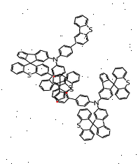 c1ccc2c(c1)Sc1ccccc1C21c2ccccc2-c2cc(N(c3ccc(-c4cccc5c4sc4ccc(-c6ccc7c(c6)Sc6ccccc6C76c7ccccc7-c7ccc(N(c8ccc(-c9ccc%10sc%11ccccc%11c%10c9)cc8)c8ccc9c(c8)-c8ccccc8C98c9ccccc9Sc9ccccc98)cc76)cc45)cc3)c3ccc4c(c3)C3(c5ccccc5Sc5ccccc53)c3ccccc3-4)ccc21